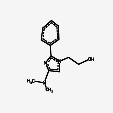 CN(C)c1cn(CCO)c(-c2ccccc2)n1